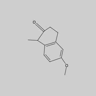 COc1ccc2c(c1)CCC(=O)C2C